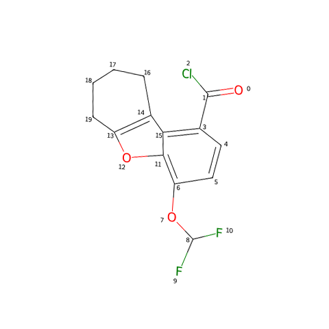 O=C(Cl)c1ccc(OC(F)F)c2oc3c(c12)CCCC3